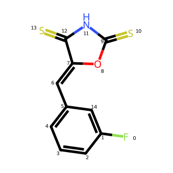 Fc1cccc(/C=C2\OC(=S)NC2=S)c1